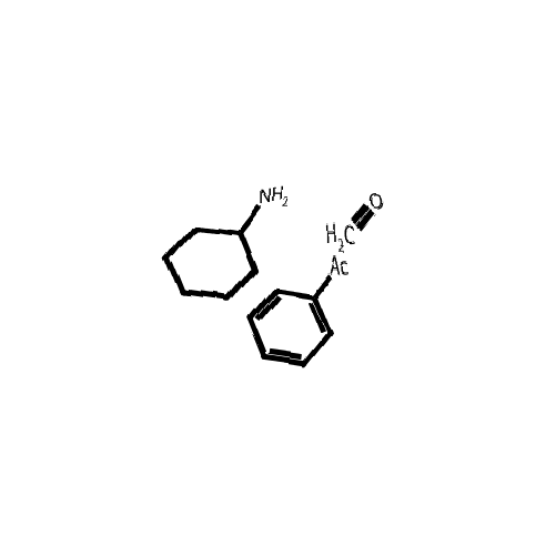 C=O.CC(=O)c1ccccc1.NC1CCCCC1